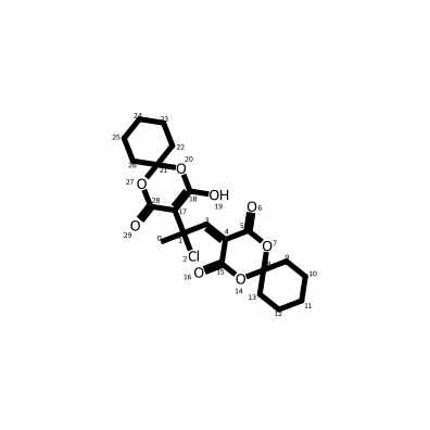 CC(Cl)(C=C1C(=O)OC2(CCCCC2)OC1=O)C1=C(O)OC2(CCCCC2)OC1=O